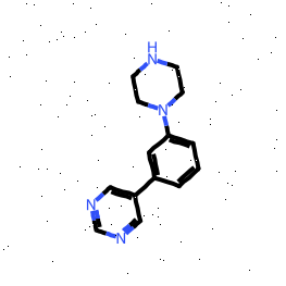 c1cc(-c2cncnc2)cc(N2CCNCC2)c1